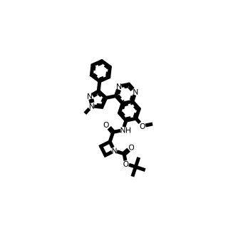 COc1cc2ncnc(-c3cn(C)nc3-c3ccccc3)c2cc1NC(=O)C1CCN1C(=O)OC(C)(C)C